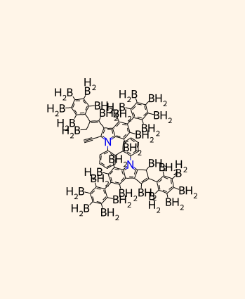 BC/C(=C(/B)c1c(C#C)n(-c2ccccc2-c2ccccc2-n2c3c(c4c(B)c(-c5c(B)c(B)c(B)c(B)c5B)c(B)c(B)c42)C(B)=C(c2c(B)c(B)c(B)c(B)c2B)C3B)c2c(B)c(B)c(-c3c(B)c(B)c(B)c(B)c3B)c(B)c12)c1c(B)c(B)c(B)c(B)c1B